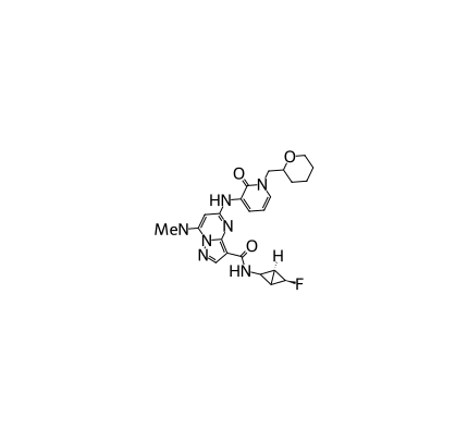 CNc1cc(Nc2cccn(CC3CCCCO3)c2=O)nc2c(C(=O)NC3C4[C@@H]3[C@H]4F)cnn12